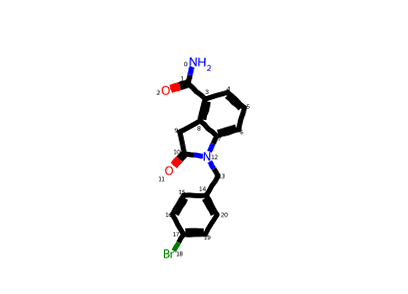 NC(=O)c1cccc2c1CC(=O)N2Cc1ccc(Br)cc1